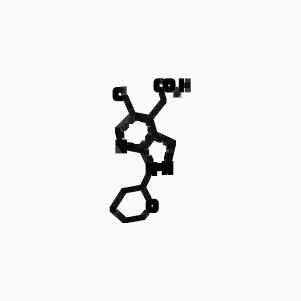 O=C(O)Cc1c(Cl)cnc2c1cnn2C1CCCCO1